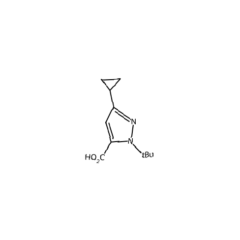 CC(C)(C)n1nc(C2CC2)cc1C(=O)O